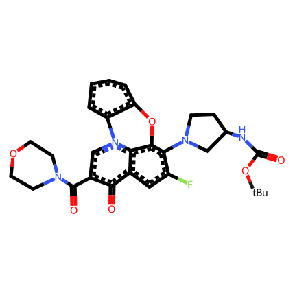 CC(C)(C)OC(=O)NC1CCN(c2c(F)cc3c(=O)c(C(=O)N4CCOCC4)cn4c3c2Oc2ccccc2-4)C1